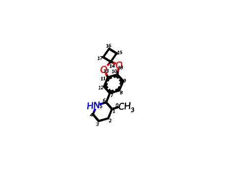 CC1CCCNC1c1ccc2c(c1)OC1(CCC1)O2